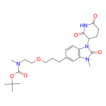 CN(CCOCCCc1ccc2c(c1)n(C)c(=O)n2C1CCC(=O)NC1=O)C(=O)OC(C)(C)C